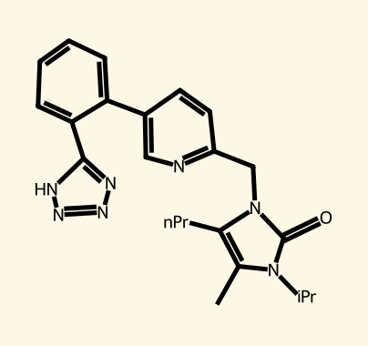 CCCc1c(C)n(C(C)C)c(=O)n1Cc1ccc(-c2ccccc2-c2nnn[nH]2)cn1